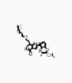 Cc1nc2cccc(-c3cc4c([nH]3)C(CCOCCN=[N+]=[N-])CNC4=O)c2nc1F